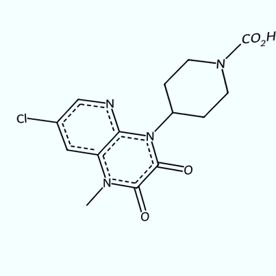 Cn1c(=O)c(=O)n(C2CCN(C(=O)O)CC2)c2ncc(Cl)cc21